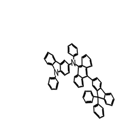 c1ccc(N(c2ccc3c(c2)c2ccccc2n3-c2ccccc2)c2c3ccccc3c(-c3ccc4c(c3)C(c3ccccc3)(c3ccccc3)c3ccccc3-4)c3ccccc23)cc1